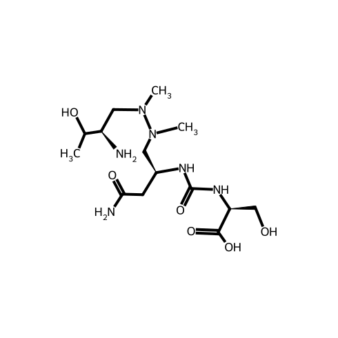 CC(O)[C@H](N)CN(C)N(C)C[C@H](CC(N)=O)NC(=O)N[C@@H](CO)C(=O)O